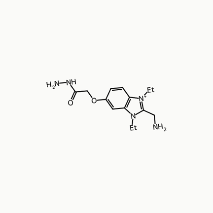 CCn1c(CN)[n+](CC)c2ccc(OCC(=O)NN)cc21